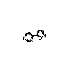 [c]1cc(-c2ccncn2)on1